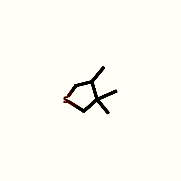 CC1CSCC1(C)C